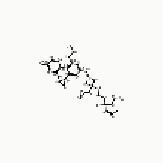 C=NCC1(CCCC(C)(/C=C\C)CCC)CN(Cc2cc(CCC)c(-c3ccc(C)cc3C)c(C3CC3)c2)C1